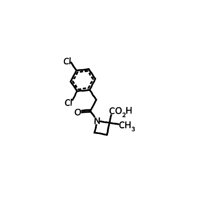 CC1(C(=O)O)CCN1C(=O)Cc1ccc(Cl)cc1Cl